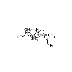 C#CCC[C@@]1(C)C(=NO)CC[C@H]2[C@@H]3CC[C@H]([C@H](C)CCCC(C)C)[C@@]3(C)CC[C@@H]21